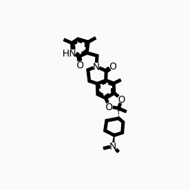 Cc1cc(C)c(CN2CCc3cc4c(c(C)c3C2=O)OC(C)([C@H]2CC[C@H](N(C)C)CC2)O4)c(=O)[nH]1